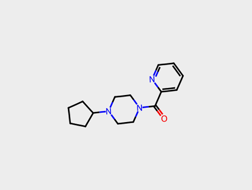 O=C(c1ccccn1)N1CCN(C2CCCC2)CC1